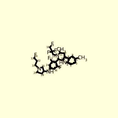 Cc1ccc2[nH]c3c(c2c1)CC(C)N(CC(F)(F)CF)C3c1c(F)cc(NC2CCN(CCCF)C2)cc1F